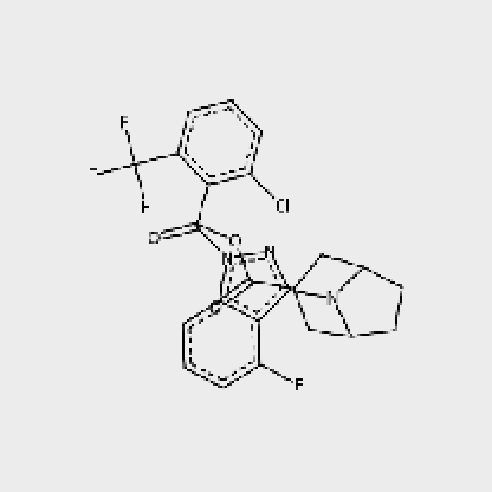 COC(=O)C1CC2CCC(C1)N2c1nn(C(=O)c2c(Cl)cccc2C(F)(F)F)c2cccc(F)c12